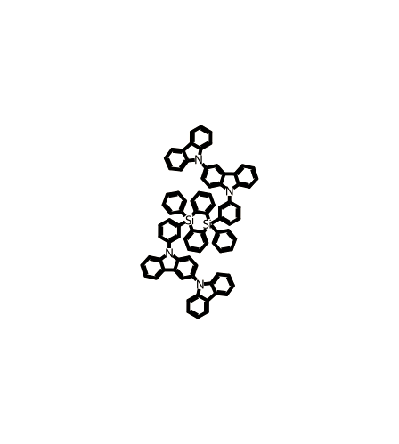 c1ccc([Si]2(c3cccc(-n4c5ccccc5c5cc(-n6c7ccccc7c7ccccc76)ccc54)c3)c3ccccc3[Si](c3ccccc3)(c3cccc(-n4c5ccccc5c5cc(-n6c7ccccc7c7ccccc76)ccc54)c3)c3ccccc32)cc1